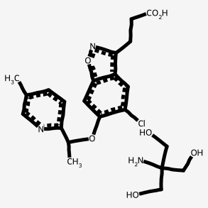 Cc1ccc(C(C)Oc2cc3onc(CCC(=O)O)c3cc2Cl)nc1.NC(CO)(CO)CO